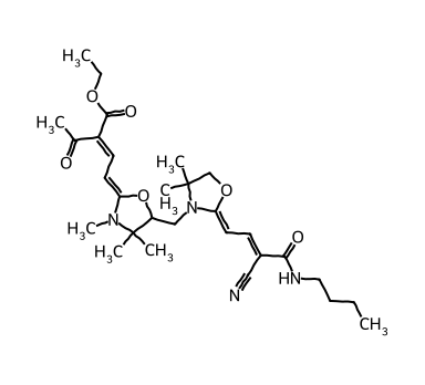 CCCCNC(=O)/C(C#N)=C/C=C1\OCC(C)(C)N1CC1O/C(=C\C=C(/C(C)=O)C(=O)OCC)N(C)C1(C)C